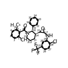 Cc1cccc(C)c1C(=O)N1CCC[C@H](C2OC2Nc2cc(C(F)(F)F)ccc2Cl)[C@@H]1c1ccccc1